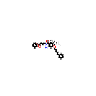 Cc1c(OCCCCCc2ccccc2)ccc(C(=O)NCCCC(=O)Oc2ccccc2)c1C